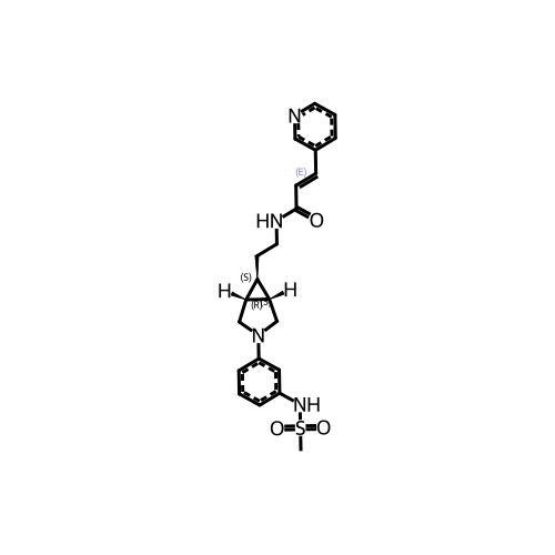 CS(=O)(=O)Nc1cccc(N2C[C@@H]3[C@@H](CCNC(=O)/C=C/c4cccnc4)[C@@H]3C2)c1